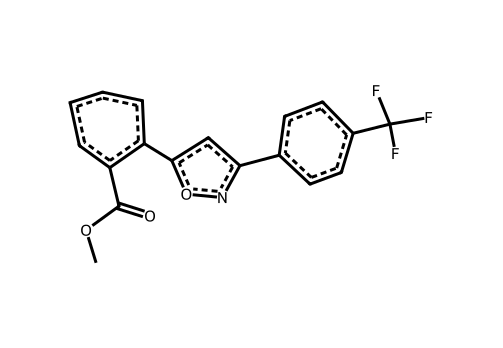 COC(=O)c1ccccc1-c1cc(-c2ccc(C(F)(F)F)cc2)no1